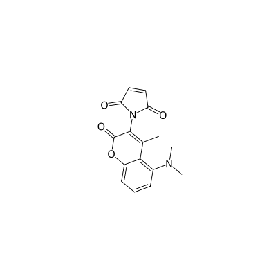 Cc1c(N2C(=O)C=CC2=O)c(=O)oc2cccc(N(C)C)c12